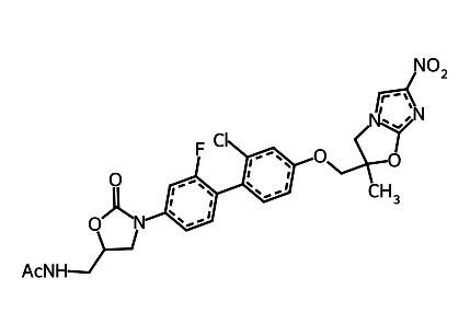 CC(=O)NCC1CN(c2ccc(-c3ccc(OCC4(C)Cn5cc([N+](=O)[O-])nc5O4)cc3Cl)c(F)c2)C(=O)O1